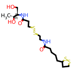 C[C@@H](O)[C@@H](CO)NC(=O)CCSSCCNC(=O)CCCCC1CCSS1